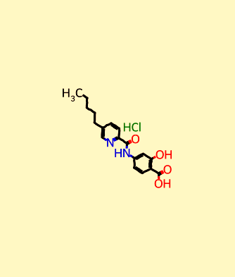 CCCCCc1ccc(C(=O)Nc2ccc(C(=O)O)c(O)c2)nc1.Cl